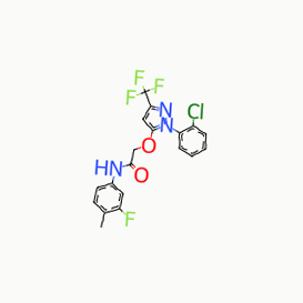 Cc1ccc(NC(=O)COc2cc(C(F)(F)F)nn2-c2ccccc2Cl)cc1F